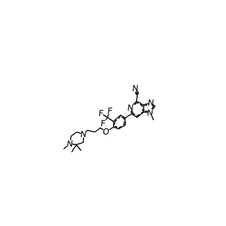 CN1CCN(CCCOc2ccc(-c3cc4c(ncn4C)c(C#N)n3)cc2C(F)(F)F)CC1(C)C